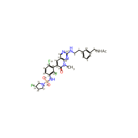 CC(=O)NCc1cccc(CCNc2ncc3cc(-c4c(F)ccc(NS(=O)(=O)N5CC[C@@H](F)C5)c4F)c(=O)n(C)c3n2)c1